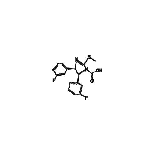 CSC1=N[C@H](c2cccc(F)c2)[C@H](c2cccc(F)c2)N1C(=O)O